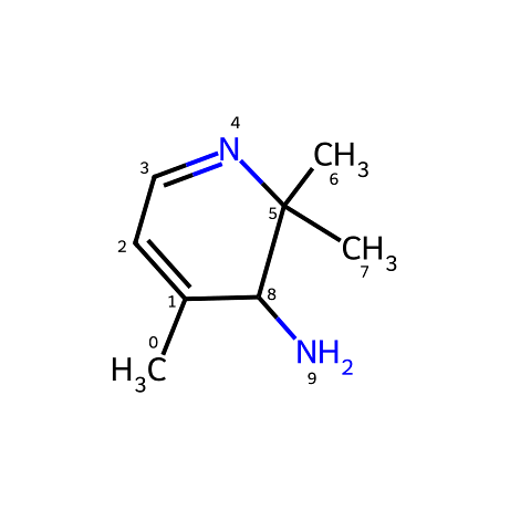 CC1=CC=NC(C)(C)C1N